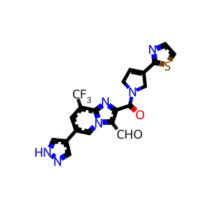 O=Cc1c(C(=O)N2CC=C(c3nccs3)C2)nc2c(C(F)(F)F)cc(-c3cn[nH]c3)cn12